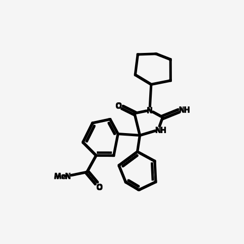 CNC(=O)c1cccc(C2(c3ccccc3)NC(=N)N(C3CCCCC3)C2=O)c1